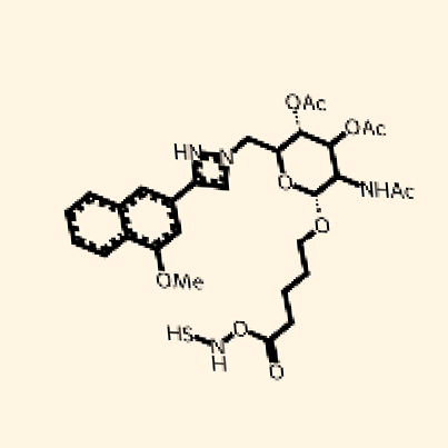 COc1cc(-c2cn(CC3O[C@@H](OCCCCC(=O)ONS)C(NC(C)=O)C(OC(C)=O)[C@H]3OC(C)=O)[nH]2)cc2ccccc12